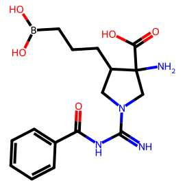 N=C(NC(=O)c1ccccc1)N1CC(CCCB(O)O)C(N)(C(=O)O)C1